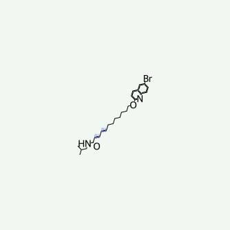 CC(C)CNC(=O)/C=C/C=C/CCCCCCCOc1ccc2cc(Br)ccc2n1